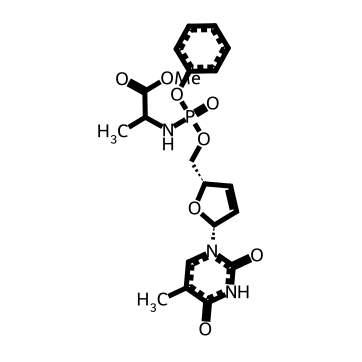 COC(=O)C(C)NP(=O)(OC[C@@H]1C=C[C@H](n2cc(C)c(=O)[nH]c2=O)O1)Oc1ccccc1